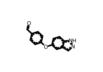 O=Cc1ccc(Oc2ccc3[nH]ncc3c2)cc1